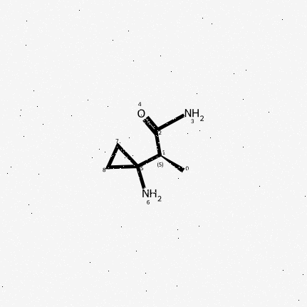 C[C@H](C(N)=O)C1(N)CC1